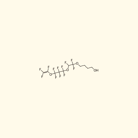 OCCCCOC(F)(F)C(F)OC(F)(F)C(F)(F)C(F)(F)OC(F)=C(F)F